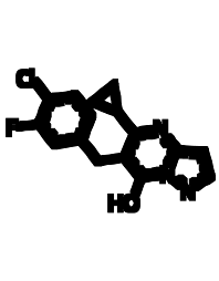 Oc1c(Cc2ccc(Cl)c(F)c2)c(C2CC2)nc2ccnn12